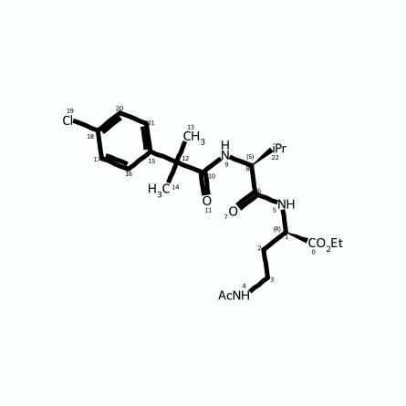 CCOC(=O)[C@@H](CCNC(C)=O)NC(=O)[C@@H](NC(=O)C(C)(C)c1ccc(Cl)cc1)C(C)C